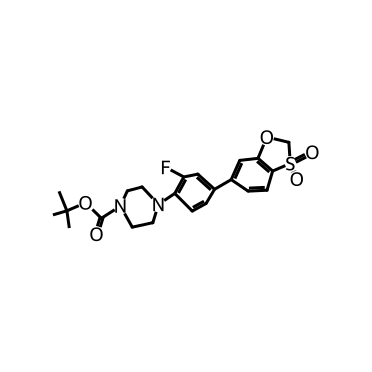 CC(C)(C)OC(=O)N1CCN(c2ccc(-c3ccc4c(c3)OCS4(=O)=O)cc2F)CC1